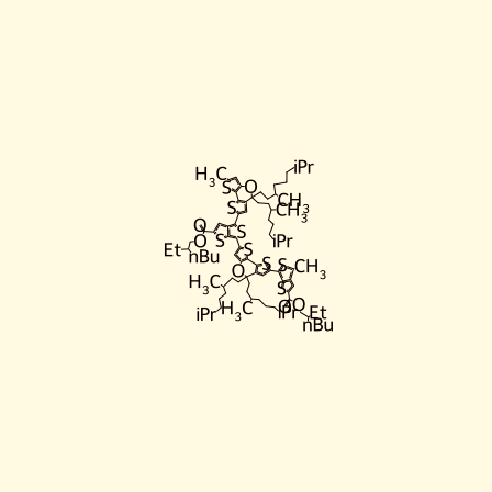 CCCCC(CC)COC(=O)c1cc2c(C)sc(-c3cc4c(s3)-c3sc(-c5sc(-c6cc7c(s6)-c6sc(C)cc6OC7(CCC(C)CCCC(C)C)CCC(C)CCCC(C)C)c6cc(C(=O)OCC(CC)CCCC)sc56)cc3OC4(CCC(C)CCCC(C)C)CCC(C)CCCC(C)C)c2s1